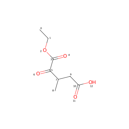 CCOC(=O)C(=O)C(C)CC(=O)O